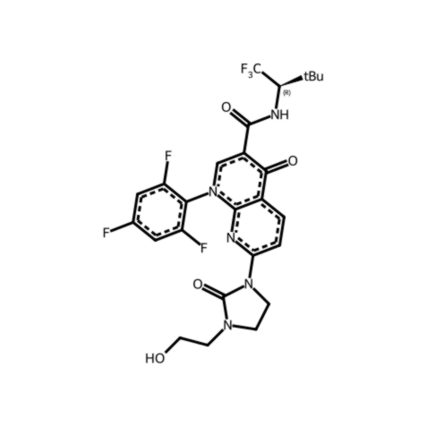 CC(C)(C)[C@@H](NC(=O)c1cn(-c2c(F)cc(F)cc2F)c2nc(N3CCN(CCO)C3=O)ccc2c1=O)C(F)(F)F